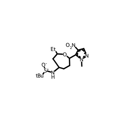 CCC1CC(N[S+]([O-])C(C)(C)C)CCC(c2c([N+](=O)[O-])cnn2C)O1